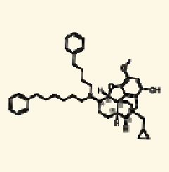 COc1cc(O)c2c3c1O[C@H]1[C@H](N(CCCCCCc4ccccc4)CCCCc4ccccc4)CC[C@H]4[C@@H](C2)N(CC2CC2)CC[C@@]341